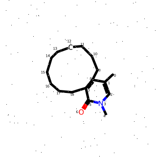 Cc1cn(C)c(=O)c2c1CCCCCCCCCC2